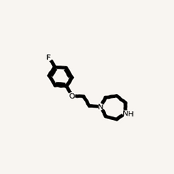 Fc1ccc(OCCN2CCCNCC2)cc1